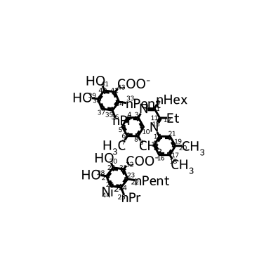 CCCCCCC(=Nc1ccc(C)c(C)c1)C(CC)=Nc1ccc(C)c(C)c1.CCCCCc1c(CCC)cc(O)c(O)c1C(=O)[O-].CCCCCc1c(CCC)cc(O)c(O)c1C(=O)[O-].[Ni+2]